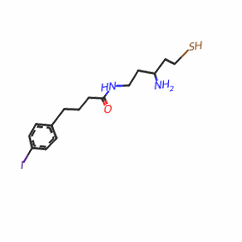 NC(CCS)CCNC(=O)CCCc1ccc(I)cc1